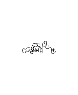 O=C(CC(NS(=O)(=O)c1ccc2ccccc2c1)c1nccs1)NC1CCOc2cc(CN3CCCCC3)ccc21